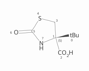 CC(C)(C)[C@]1(C(=O)O)CSC(=O)N1